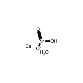 O.O=[N+]([O-])O.[Ce]